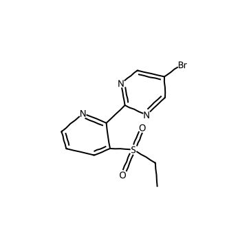 CCS(=O)(=O)c1cccnc1-c1ncc(Br)cn1